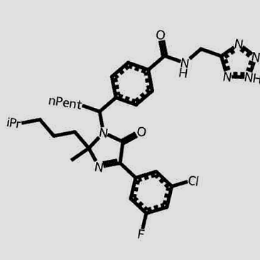 CCCCCC(c1ccc(C(=O)NCc2nn[nH]n2)cc1)N1C(=O)C(c2cc(F)cc(Cl)c2)=NC1(C)CCCC(C)C